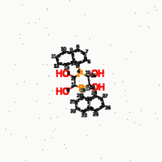 OC1C(O)P(c2cccc3ccccc23)C(O)C(O)P1c1cccc2ccccc12